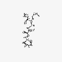 CCCC(CCNC(=O)OCc1ccccc1)C(=O)CN=N